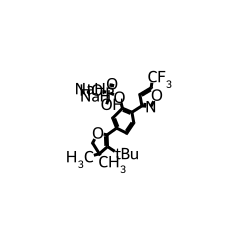 CC(C)(C)C1=C(c2ccc(-c3cc(C(F)(F)F)on3)c(OP(=O)(O)O)c2)OCC1(C)C.[NaH].[NaH]